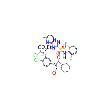 CCOC(=O)/C(Cl)=C/c1cc(N2C(=O)C3=C(CCCC3)C2=O)ccc1Cl.Cc1ccn2nc(S(=O)(=O)Nc3c(F)cccc3F)nc2n1